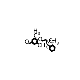 Cc1cc(C=O)cc(C)c1OCCN(C)Cc1ccccc1F